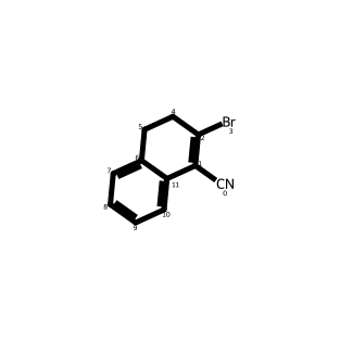 N#CC1=C(Br)CCc2ccccc21